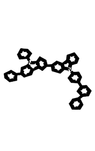 c1ccc(-c2cccc(-c3ccc(-n4c5ccccc5c5cc(-c6ccc7c(c6)c6ccc(-c8ccccc8)cc6n7-c6ccccc6)ccc54)cc3)c2)cc1